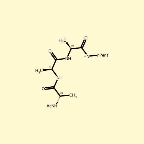 CCCCCNC(=O)[C@H](C)NC(=O)[C@H](C)NC(=O)[C@H](C)NC(C)=O